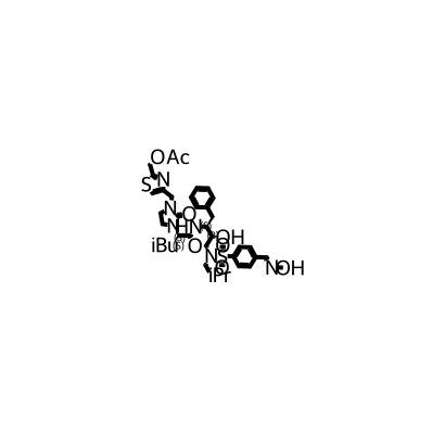 CC[C@H](C)[C@@H](C(=O)N[C@@H](Cc1ccccc1)[C@H](O)CN(CC(C)C)S(=O)(=O)c1ccc(C=NO)cc1)N1CCN(Cc2csc(COC(C)=O)n2)C1=O